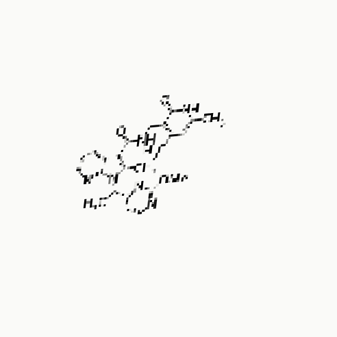 COc1nccc(C(C)n2c(C)c(C(=O)NCc3c(C)cc(C)[nH]c3=O)c3cccnc32)n1